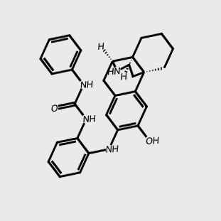 O=C(Nc1ccccc1)Nc1ccccc1Nc1cc2c(cc1O)[C@]13CCCC[C@@H]1[C@H](C2)NCC3